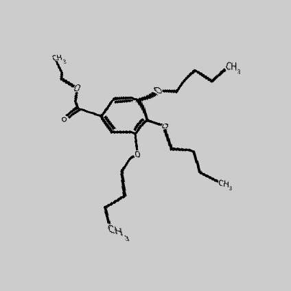 CCCCOc1cc(C(=O)OCC)cc(OCCCC)c1OCCCC